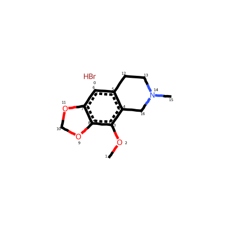 Br.COc1c2c(cc3c1OCO3)CCN(C)C2